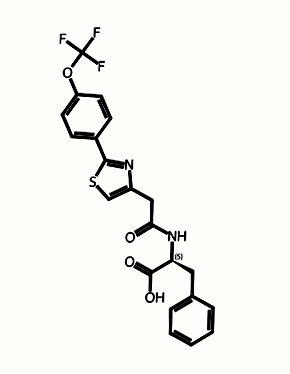 O=C(Cc1csc(-c2ccc(OC(F)(F)F)cc2)n1)N[C@@H](Cc1ccccc1)C(=O)O